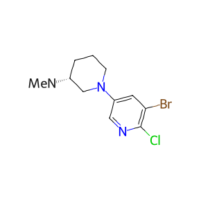 CN[C@@H]1CCCN(c2cnc(Cl)c(Br)c2)C1